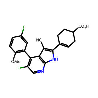 COc1ccc(F)cc1-c1c(F)cnc2[nH]c(C3=CCC(C(=O)O)CC3)c(C#N)c12